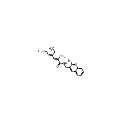 CC/C=C(/C=C(\C)C(=O)NCc1cc2ccccc2nc1Br)CC